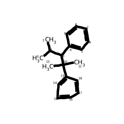 CC(C)[C](c1ccccc1)C(C)(C)c1ccccc1